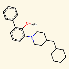 CCOc1c(N2CCC(CC3CCCCC3)CC2)[c]ccc1-c1ccccc1